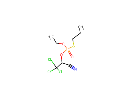 CCCSP(=O)(OCC)OC(C#N)C(Cl)(Cl)Cl